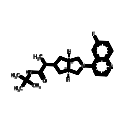 CC(C(=O)NC(C)(C)C)C1C[C@@H]2CN(c3ccnc4ccc(F)cc34)C[C@@H]2C1